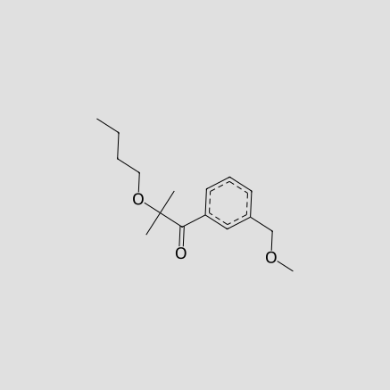 CCCCOC(C)(C)C(=O)c1cccc(COC)c1